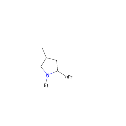 CCCC1CC(C)CN1CC